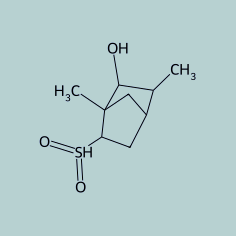 CC1C2CC([SH](=O)=O)C(C)(C2)C1O